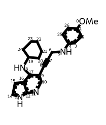 COc1ccc(NCC#Cc2cnc3[nH]ccc3c2NC2CCCCC2)cc1